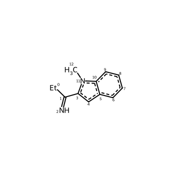 CCC(=N)c1cc2ccccc2n1C